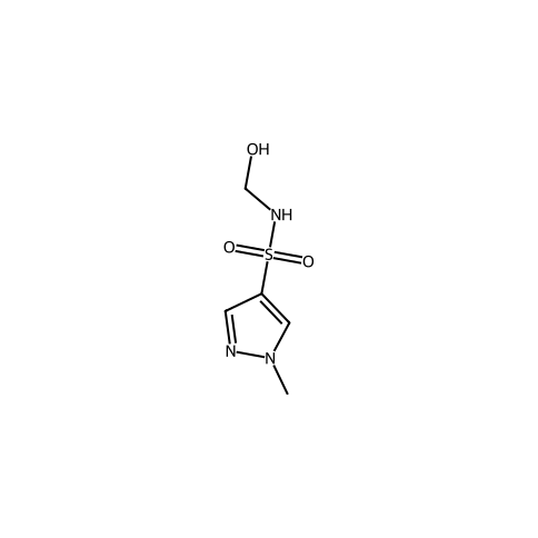 Cn1cc(S(=O)(=O)NCO)cn1